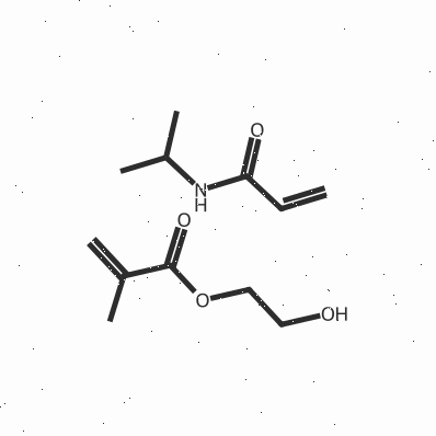 C=C(C)C(=O)OCCO.C=CC(=O)NC(C)C